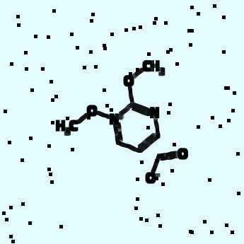 COc1nccc[n+]1OC.O=C[O-]